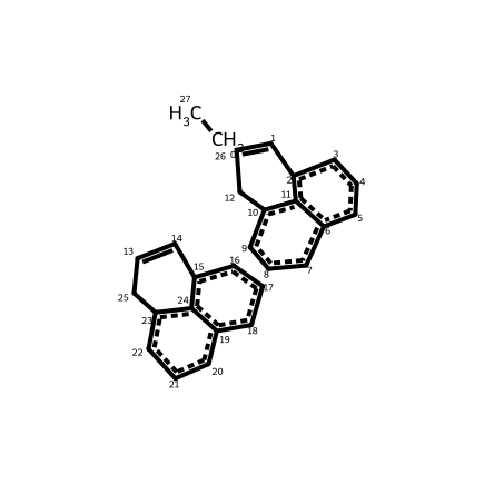 C1=Cc2cccc3cccc(c23)C1.C1=Cc2cccc3cccc(c23)C1.CC